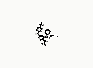 CNC(=O)c1cnc(Nc2ncc(C(C)(F)F)cn2)cc1N[C@@H]1CCCC[C@@H]1C(N)=O